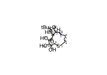 C[C@@H]1/C=C/CCCCSC2OC(C(O)C(O)C2O)[C@@H]1N[S@+]([O-])C(C)(C)C